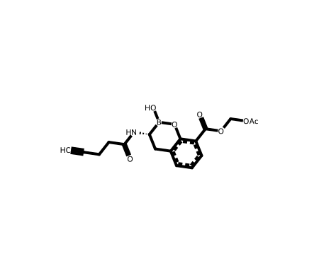 C#CCCC(=O)N[C@H]1Cc2cccc(C(=O)OCOC(C)=O)c2OB1O